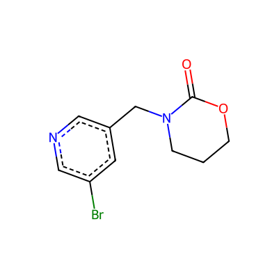 O=C1OCCCN1Cc1cncc(Br)c1